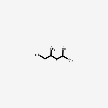 NCC(N)CC(N)O